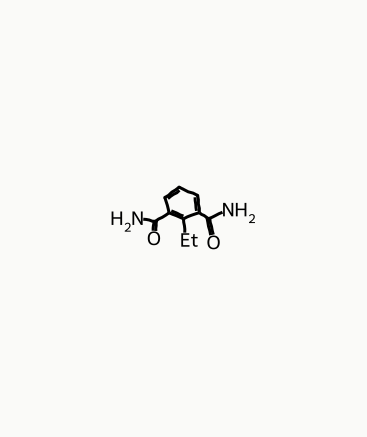 [CH2]Cc1c(C(N)=O)cccc1C(N)=O